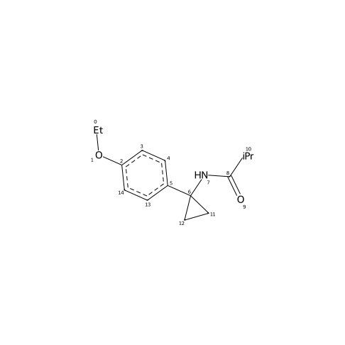 CCOc1ccc(C2(NC(=O)C(C)C)CC2)cc1